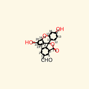 O=Cc1ccc2c(c1)C(=O)OC21c2ccc(O)cc2Oc2cc(O)ccc21